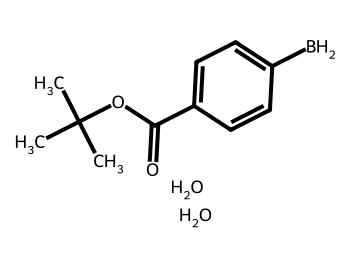 Bc1ccc(C(=O)OC(C)(C)C)cc1.O.O